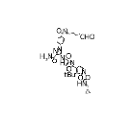 CN(CCCCC=O)C(=O)c1ccc(-n2cc(NC(=O)c3coc(-c4ccnc(OC(=O)NCC5CC5)c4C(C)(C)C)n3)c(C(N)=O)n2)cc1